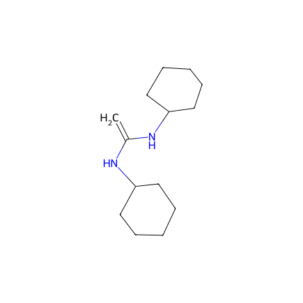 C=C(NC1CCCCC1)NC1CCCCC1